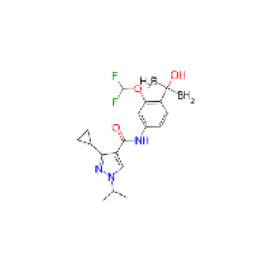 BC(B)(O)c1ccc(NC(=O)c2cn(C(C)C)nc2C2CC2)cc1OC(F)F